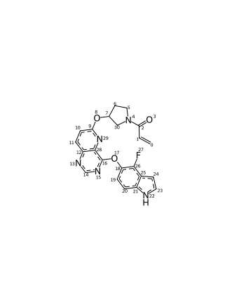 C=CC(=O)N1CCC(Oc2ccc3ncnc(Oc4ccc5[nH]ccc5c4F)c3n2)C1